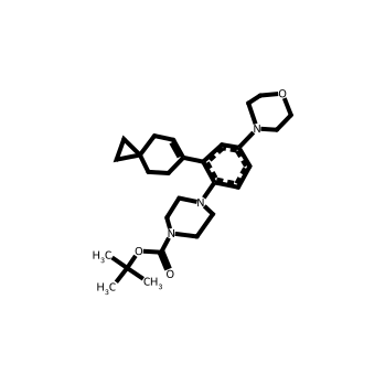 CC(C)(C)OC(=O)N1CCN(c2ccc(N3CCOCC3)cc2C2=CCC3(CC2)CC3)CC1